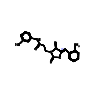 Cc1ccccc1/C=C1\SC(=S)N(CCC(=O)Nc2cccc(O)c2)C1=O